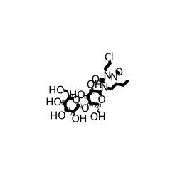 CCCCN(C(=O)N(CCCl)N=O)C1O[C@H](CO)[C@@H](O[C@H]2O[C@H](CO)[C@@H](O)[C@H](O)[C@H]2O)[C@H](O)[C@H]1O